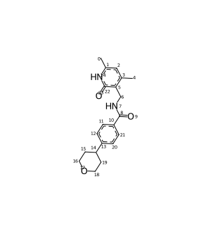 Cc1cc(C)c(CNC(=O)c2ccc(C3CCOCC3)cc2)c(=O)[nH]1